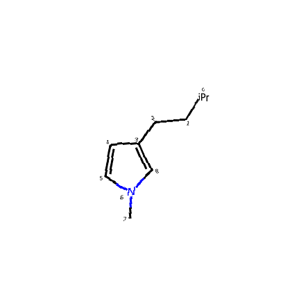 CC(C)CCc1ccn(C)c1